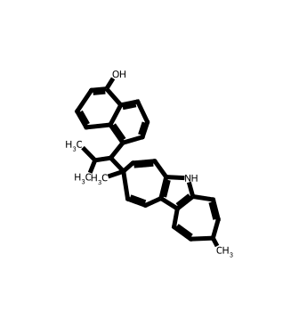 CC1C=Cc2[nH]c3c(c2C=C1)C=CC(C)(C(c1cccc2c(O)cccc12)C(C)C)C=C3